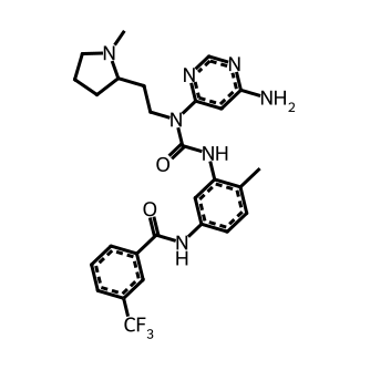 Cc1ccc(NC(=O)c2cccc(C(F)(F)F)c2)cc1NC(=O)N(CCC1CCCN1C)c1cc(N)ncn1